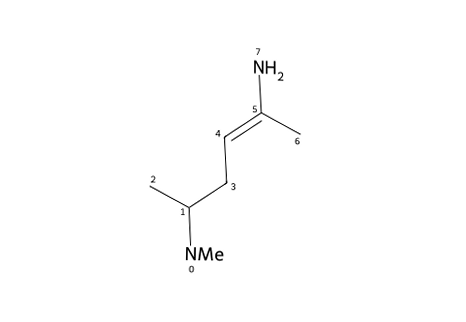 CNC(C)C/C=C(\C)N